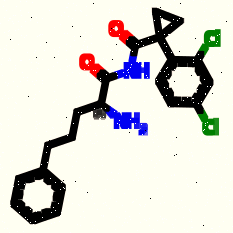 N[C@@H](CCCc1ccccc1)C(=O)NC(=O)C1(c2ccc(Cl)cc2Cl)CC1